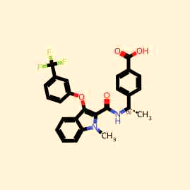 C[C@H](NC(=O)c1c(Oc2cccc(C(F)(F)F)c2)c2ccccc2n1C)c1ccc(C(=O)O)cc1